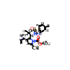 C/C=C\[C@@H]1C[C@H](C#N)N(C(=O)OC(C)(C)C)C1[C@@H](N[S+]([O-])c1ccc(C)cc1)[C@](C)(CCC)OC